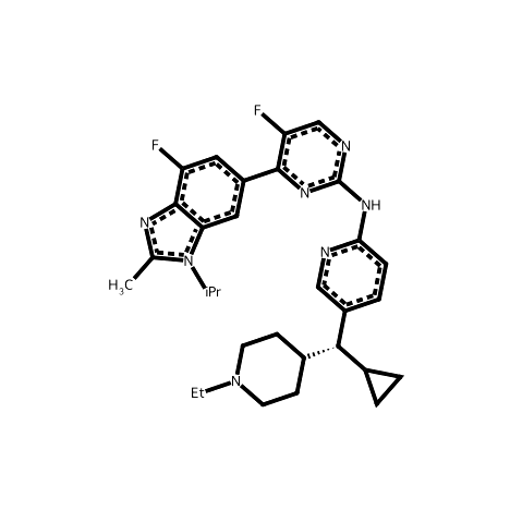 CCN1CCC([C@H](c2ccc(Nc3ncc(F)c(-c4cc(F)c5nc(C)n(C(C)C)c5c4)n3)nc2)C2CC2)CC1